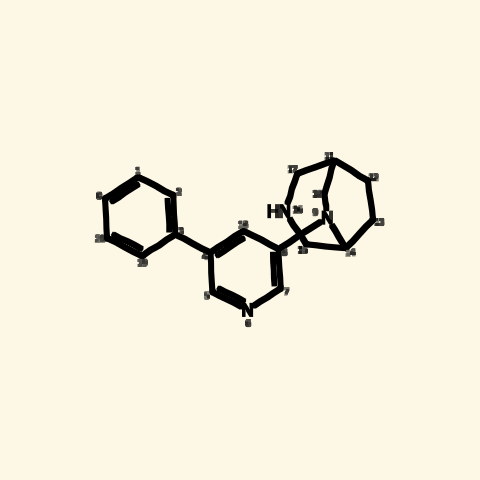 c1ccc(-c2cncc(N3CC4CCC3CNC4)c2)cc1